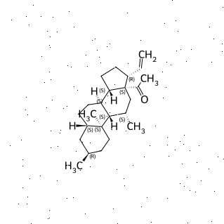 C=C[C@H]1CC[C@H]2[C@@H]3CC[C@H]4C[C@H](C)CC[C@]4(C)[C@H]3[C@@H](C)C[C@]12C(C)=O